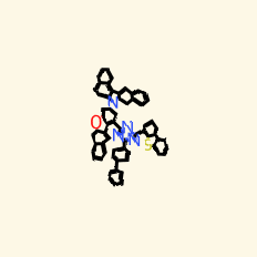 c1ccc(-c2ccc(-c3nc(-c4cccc5c4sc4ccccc45)nc(-c4cc(-n5c6cc7ccccc7cc6c6c7ccccc7ccc65)cc5oc6cc7ccccc7cc6c45)n3)cc2)cc1